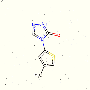 Cc1csc(-n2cn[nH]c2=O)c1